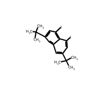 CC(C)(C)c1cc(I)c2c(I)cc(C(C)(C)C)cc2c1